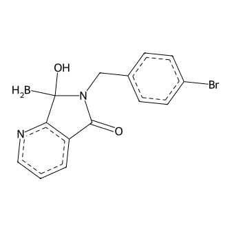 BC1(O)c2ncccc2C(=O)N1Cc1ccc(Br)cc1